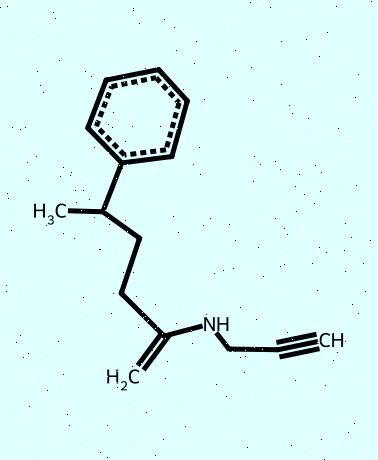 C#CCNC(=C)CCC(C)c1ccccc1